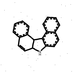 C1=CC2Nc3ccc4ccccc4c3C2c2ccccc21